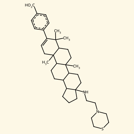 CC1(C)C(c2ccc(C(=O)O)cc2)=CCC2(C)C1CCC1(C)C3CCC4(NCCN5CCSCC5)CCCC4C3CCC12